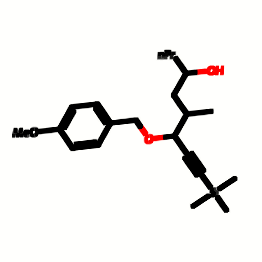 CCCC(O)CC(C)C(C#C[Si](C)(C)C)OCc1ccc(OC)cc1